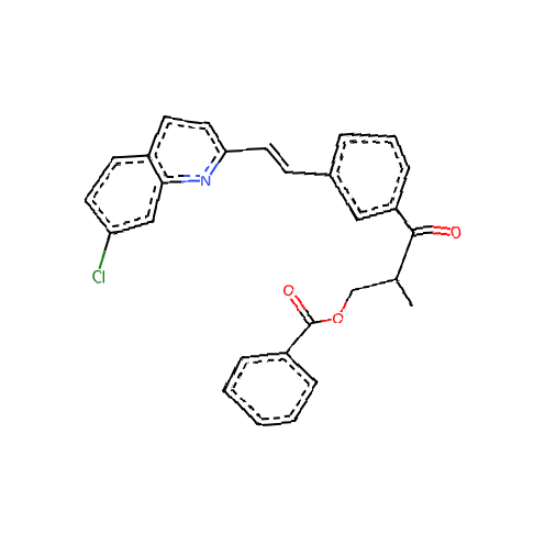 CC(COC(=O)c1ccccc1)C(=O)c1cccc(C=Cc2ccc3ccc(Cl)cc3n2)c1